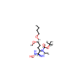 CCCCOC[C@H](CCC(C(=N)NO)N(CC)C(=O)OC(C)(C)C)OC